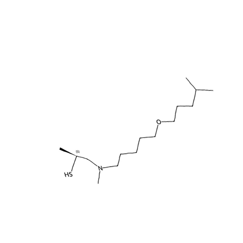 CC(C)CCCOCCCCCN(C)C[C@H](C)S